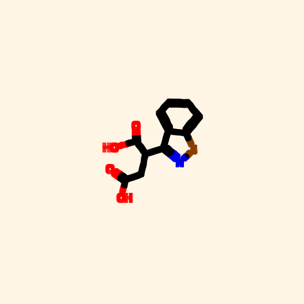 O=C(O)CC(C(=O)O)c1nsc2ccccc12